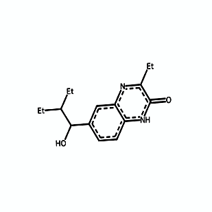 CCc1nc2cc(C(O)C(CC)CC)ccc2[nH]c1=O